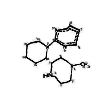 FC(F)(F)N1CCNCC1.c1cnc(N2CCCCC2)nc1